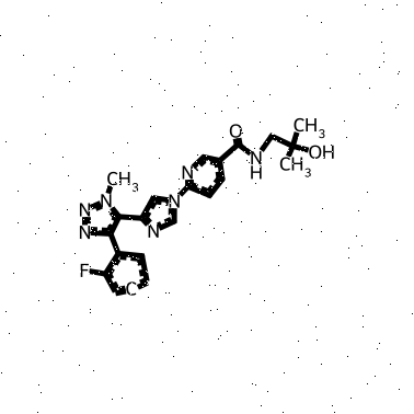 Cn1nnc(-c2ccccc2F)c1-c1cn(-c2ccc(C(=O)NCC(C)(C)O)cn2)cn1